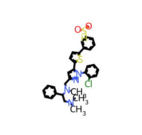 CN(C)CC(c1ccccc1)N(C)Cc1cc(-c2ccc(-c3cccc([SH](=O)=O)c3)s2)n(-c2ccccc2Cl)n1